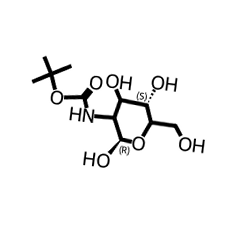 CC(C)(C)OC(=O)NC1C(O)[C@H](O)C(CO)O[C@H]1O